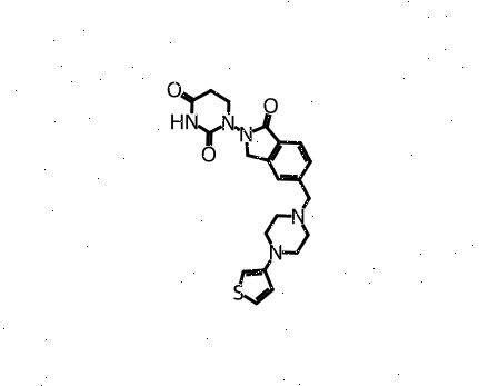 O=C1CCN(N2Cc3cc(CN4CCN(c5ccsc5)CC4)ccc3C2=O)C(=O)N1